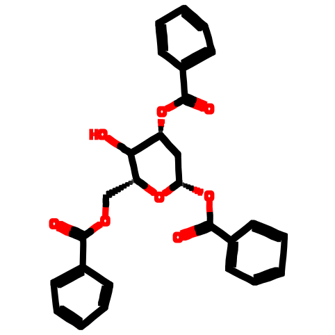 O=C(OC[C@H]1O[C@@H](OC(=O)c2ccccc2)C[C@@H](OC(=O)c2ccccc2)C1O)c1ccccc1